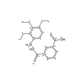 CCc1ccc(N)c(CC)c1CC.O=C(O)c1cccc(C(=O)O)c1